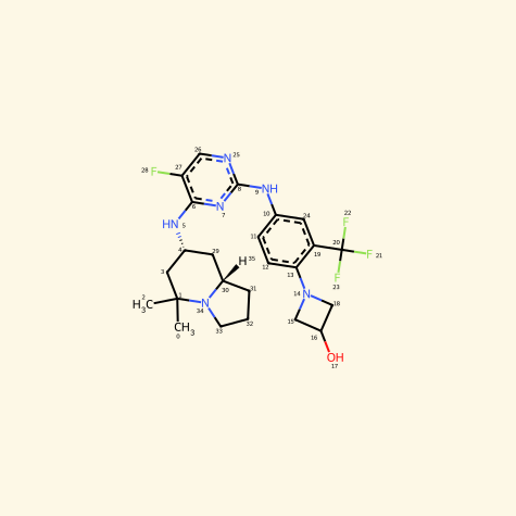 CC1(C)C[C@H](Nc2nc(Nc3ccc(N4CC(O)C4)c(C(F)(F)F)c3)ncc2F)C[C@@H]2CCCN21